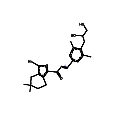 CCc1sc(C(=O)/C=C/c2cc(C)c(CC(O)CO)c(C)c2)c2c1CC(C)(C)CC2